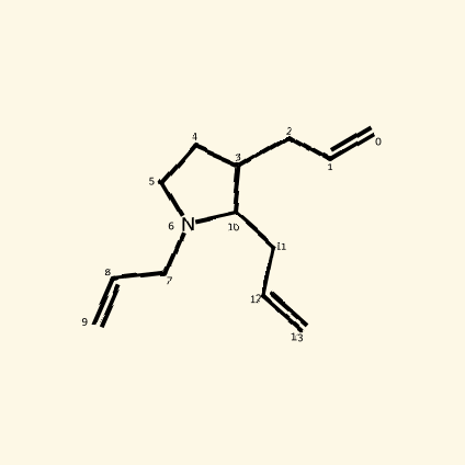 C=CCC1CCN(CC=C)C1CC=C